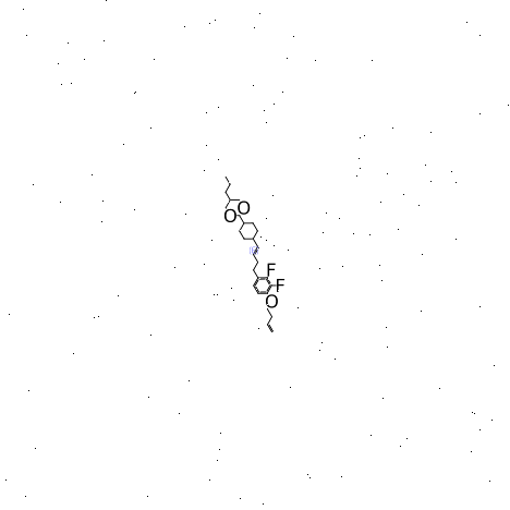 C=CCCOc1ccc(CC/C=C/C2CCC(C3OCC(CCC)CO3)CC2)c(F)c1F